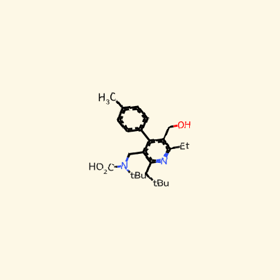 CCc1nc(CC(C)(C)C)c(CN(C(=O)O)C(C)(C)C)c(-c2ccc(C)cc2)c1CO